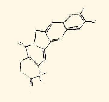 CC[C@@]1(O)C(=O)OCc2c1cc1n(c2=O)Cc2cc3cc(C)c(F)cc3nc2-1